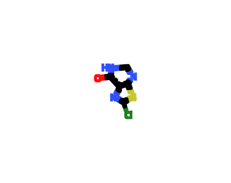 O=c1[nH]cnc2sc(Cl)nc12